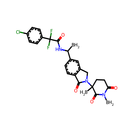 BC(NC(=O)C(F)(F)c1ccc(Cl)cc1)c1ccc2c(c1)CN(C1(B)CCC(=O)N(B)C1=O)C2=O